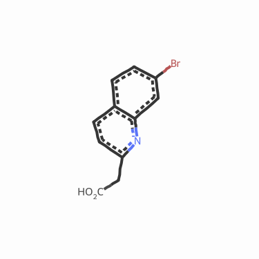 O=C(O)Cc1ccc2ccc(Br)cc2n1